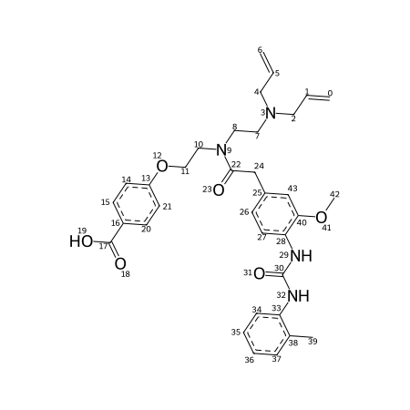 C=CCN(CC=C)CCN(CCOc1ccc(C(=O)O)cc1)C(=O)Cc1ccc(NC(=O)Nc2ccccc2C)c(OC)c1